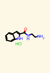 Cl.NCCNC(=O)c1cc2ccccc2[nH]1